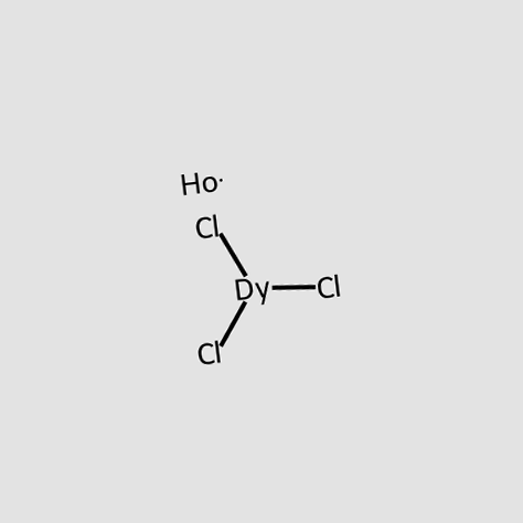 [Cl][Dy]([Cl])[Cl].[Ho]